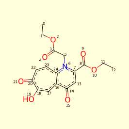 CCOC(=O)Cn1c(C(=O)OCC)cc(=O)c2cc(O)c(=O)ccc21